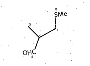 CSCC(C)C=O